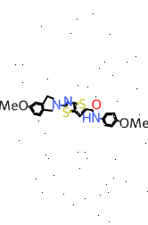 COc1ccc(NC(=O)c2cc3sc(N4CCc5cc(OC)ccc5C4)nc3s2)cc1